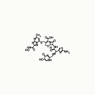 Cc1cc(SCC2=C(C(=O)O)N3C(=O)[C@@H](NC(=O)/C(=N\OCc4nc(=O)c(O)c[nH]4)c4csc(N)n4)[C@H]3SC2)n2nc(C(=O)NO)nc2n1